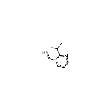 CC(C)c1ncccc1C=N